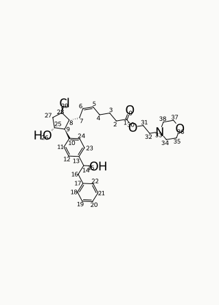 O=C(CCC/C=C\C[C@@H]1[C@@H](c2ccc(C(O)Cc3ccccc3)cc2)[C@H](O)C[C@H]1Cl)OCCN1CCOCC1